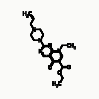 C=CCN1CCN(c2ncc3c(=O)c(C(=O)OCC)cn(CC)c3n2)CC1